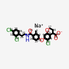 Cc1cc(Oc2cc3c(cc2Cl)C(C(=O)[O-])CCO3)ccc1C(=O)NCCc1ccc(Cl)cc1Cl.[Na+]